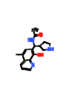 CCCC(=O)NC(c1cc(C)c2cccnc2c1O)C1CCNC1